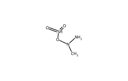 CN(N)O[SH](=O)=O